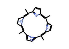 Cc1c2nc(c(C)c3[nH]c(c(C)c4ccc([nH]4)c(C)c4nc1C=C4)CC3)C=C2